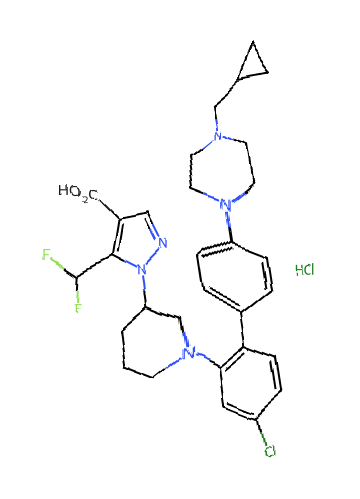 Cl.O=C(O)c1cnn(C2CCCN(c3cc(Cl)ccc3-c3ccc(N4CCN(CC5CC5)CC4)cc3)C2)c1C(F)F